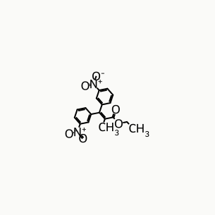 CCOC(=O)C(C)=C(c1cccc([N+](=O)[O-])c1)c1cccc([N+](=O)[O-])c1